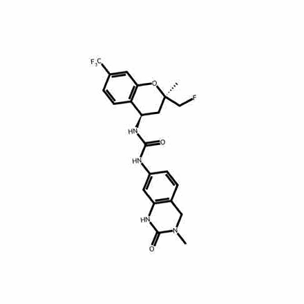 CN1Cc2ccc(NC(=O)N[C@@H]3C[C@](C)(CF)Oc4cc(C(F)(F)F)ccc43)cc2NC1=O